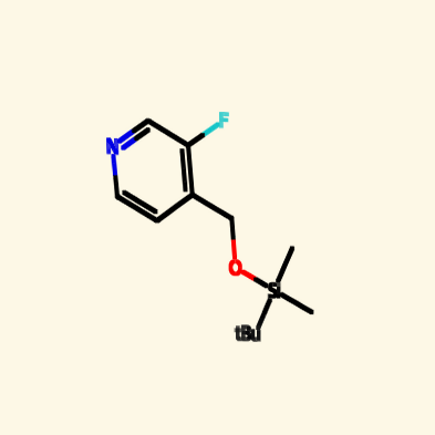 CC(C)(C)[Si](C)(C)OCc1ccncc1F